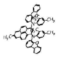 Cc1ccc(N(c2cc(N(c3ccc(C)cc3C)c3cccc4c3oc3ccccc34)c3ccc4cc(C)cc5ccc2c3c54)c2cccc3c2oc2ccccc23)c(C)c1